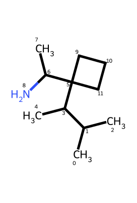 CC(C)C(C)C1(C(C)N)CCC1